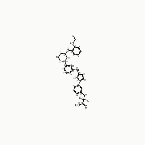 CCOc1ccccc1O[C@@H]1CCCN(c2cncc(Nc3ccn(-c4cccc(CC(C)(C)C(=O)O)c4)n3)n2)C1